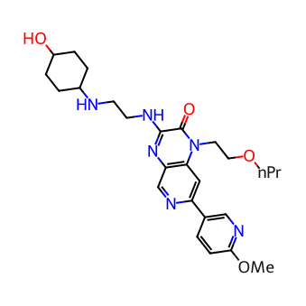 CCCOCCn1c(=O)c(NCCNC2CCC(O)CC2)nc2cnc(-c3ccc(OC)nc3)cc21